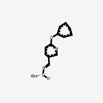 CC(C)(C)[S@@+]([O-])N=Cc1ccc(Oc2ccccc2)nc1